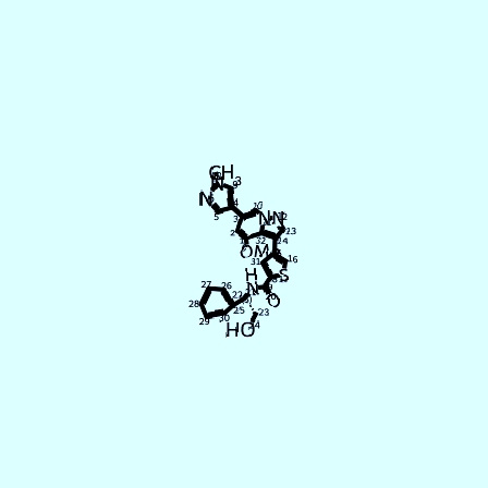 COc1cc(-c2cnn(C)c2)cn2ncc(-c3csc(C(=O)N[C@H](CO)c4ccccc4)c3)c12